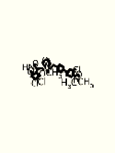 CN(C)C(=O)c1ccc(-c2ccc(CC[N+]3(N(C)C(=O)CC4C(=O)NOc5cc(Cl)c(Cl)cc54)CCOCC3)cc2)cc1Cl